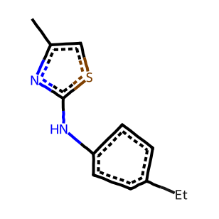 CCc1ccc(Nc2nc(C)cs2)cc1